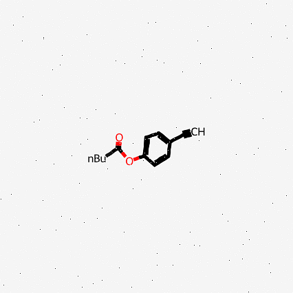 C#Cc1ccc(OC(=O)CCCC)cc1